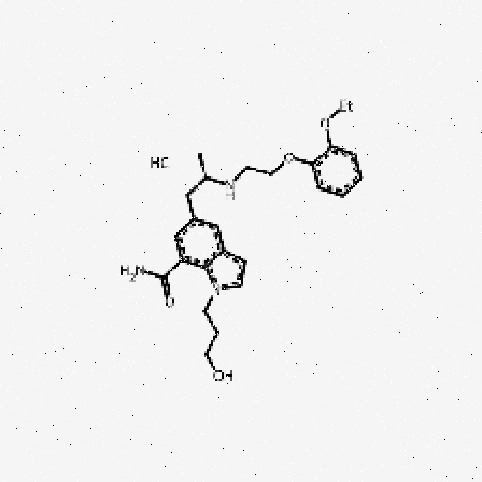 CCOc1ccccc1OCCN[C@H](C)Cc1cc(C(N)=O)c2c(ccn2CCCO)c1.Cl